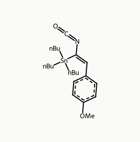 CCC[CH2][Sn]([CH2]CCC)([CH2]CCC)/[C](=C\c1ccc(OC)cc1)N=C=O